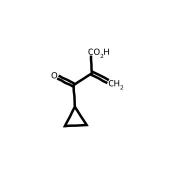 C=C(C(=O)O)C(=O)C1CC1